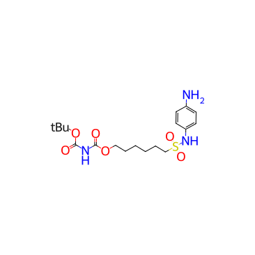 CC(C)(C)OC(=O)NC(=O)OCCCCCCS(=O)(=O)Nc1ccc(N)cc1